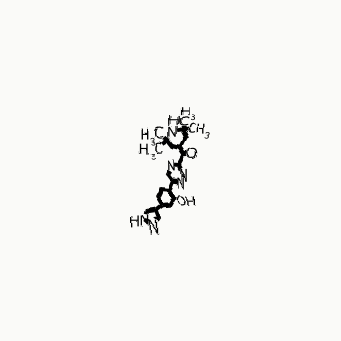 CC1(C)CC(C(=O)c2ncc(-c3ccc(-c4cn[nH]c4)cc3O)nn2)CC(C)(C)N1